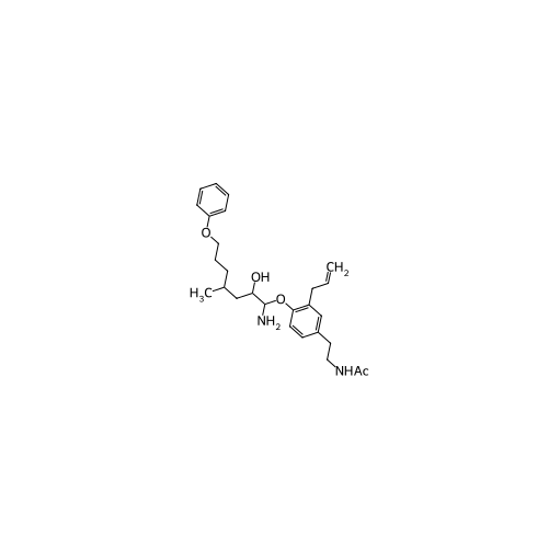 C=CCc1cc(CCNC(C)=O)ccc1OC(N)C(O)CC(C)CCCOc1ccccc1